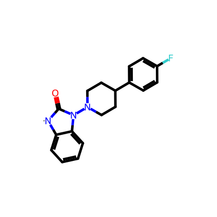 O=C1[N]c2ccccc2N1N1CCC(c2ccc(F)cc2)CC1